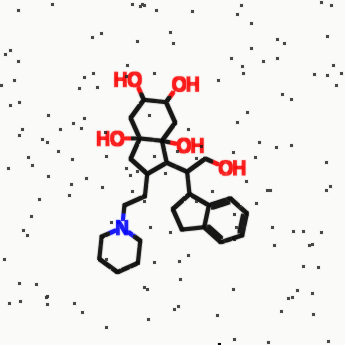 OCC(C1CCc2ccccc21)C1C(CCN2CCCCC2)CC2(O)CC(O)C(O)CC12O